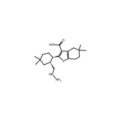 CC1(C)CCc2sc([C@@H]3CCC(C)(C)C[C@@H]3CNN)c(C(=O)O)c2C1